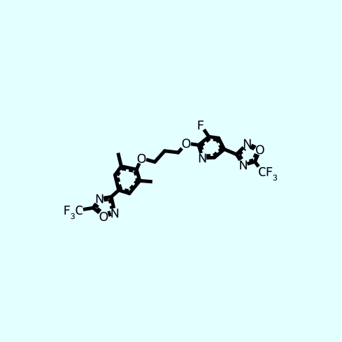 Cc1cc(-c2noc(C(F)(F)F)n2)cc(C)c1OCCCOc1ncc(-c2noc(C(F)(F)F)n2)cc1F